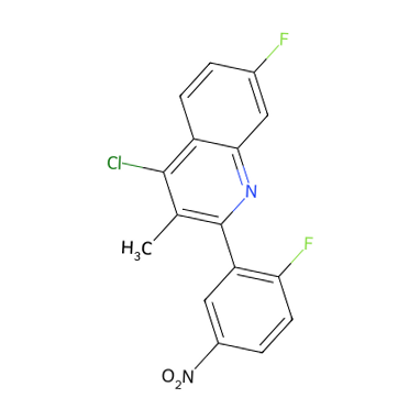 Cc1c(-c2cc([N+](=O)[O-])ccc2F)nc2cc(F)ccc2c1Cl